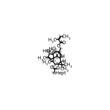 C/C=C(/C)C(=O)OCC1=C[C@@H]2C(=O)C3(C=C(C)[C@H](O)[C@@]3(O)[C@@H]1O)C(C)C[C@]1(OC(=O)CCCCCCC)[C@H]2C1(C)C